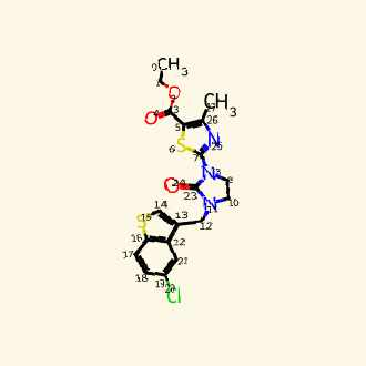 CCOC(=O)c1sc(N2CCN(Cc3csc4ccc(Cl)cc34)C2=O)nc1C